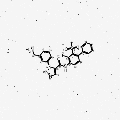 CS(=O)(=O)c1c(-c2ccccc2)ccc(NC(=O)c2cnnn2-c2cccc(CN)c2)c1F